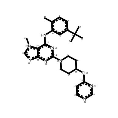 Cc1ccc(C(C)(C)C)cc1Nc1nc(N2CCC(Oc3ccncn3)CC2)nc2ncn(C)c12